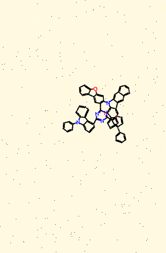 c1ccc(-c2cccc(-c3nc(-c4cc5c(cc4-n4c6cc7ccccc7cc6c6cc7ccccc7cc64)oc4ccccc45)nc(-c4cccc5c4c4ccccc4n5-c4ccccc4)n3)c2)cc1